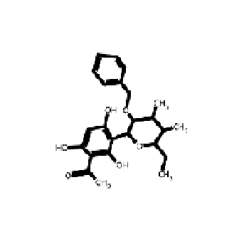 CCC1OC(c2c(O)cc(O)c(C(C)=O)c2O)C(OCc2ccccc2)C(C)C1C